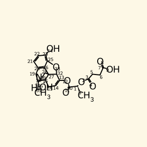 C[C@H](OC(=O)CCC(=O)O)C(=O)OC1=CC[C@@]2(O)[C@H]3Cc4ccc(O)c5c4C2(CCN3C)C1O5